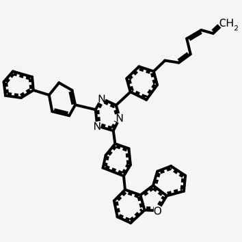 C=C/C=C\C=C/Cc1ccc(-c2nc(C3=CCC(c4ccccc4)C=C3)nc(-c3ccc(-c4cccc5oc6ccccc6c45)cc3)n2)cc1